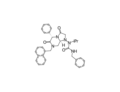 CC(C)N(C(=O)NCc1ccccc1)N1CC(=O)N2[C@@H](c3ccccc3)C(=O)N(Cc3cccc4ccccc34)C[C@@H]21